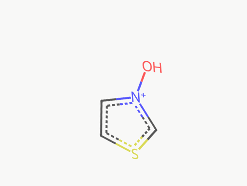 O[n+]1ccsc1